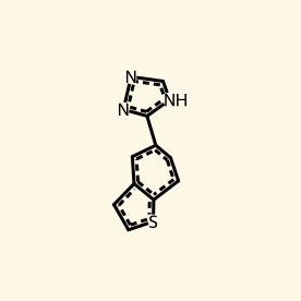 c1nnc(-c2ccc3sccc3c2)[nH]1